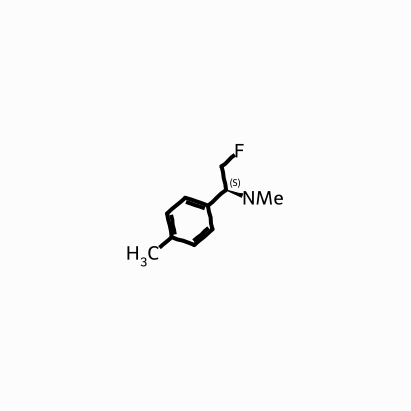 CN[C@H](CF)c1ccc(C)cc1